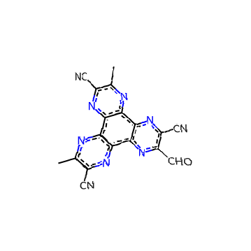 Cc1nc2c3nc(C#N)c(C)nc3c3nc(C#N)c(C=O)nc3c2nc1C#N